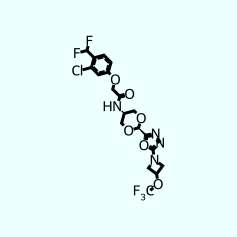 O=C(COc1ccc(C(F)F)c(Cl)c1)N[C@H]1CO[C@H](c2nnc(N3CC(OC(F)(F)F)C3)o2)OC1